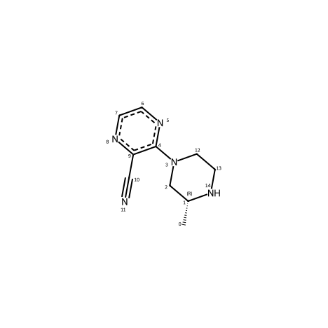 C[C@@H]1CN(c2nccnc2C#N)CCN1